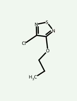 CCCOc1nsnc1Cl